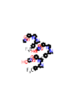 Cc1cc(-c2ccc(C(F)(F)F)cc2)cc(-c2cccc(-c3cccc(S(=O)(=O)N4CC(O)C4)c3)n2)n1.Cc1cc(-c2ccc(C(F)(F)F)cc2)cc(-c2cccc(-c3cccc(S(=O)(=O)N4CCC(O)CC4)c3)n2)n1.Cc1cc(-c2ccc(C(F)(F)F)cc2)cc(-c2cccc(-c3cccc(S(=O)(=O)N4CCC4)c3)n2)n1